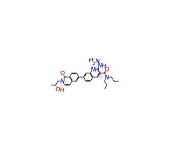 CCCN(CCC)C(=O)/C(=C/c1ccc(-c2ccc3c(=O)n(CC(C)O)ccc3c2)cc1N)CNN